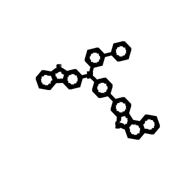 c1ccc(-c2cccc(N(c3ccc(-c4ccc5c(c4)sc4ccc6ccccc6c45)cc3)c3ccc4c(c3)sc3ccccc34)c2)cc1